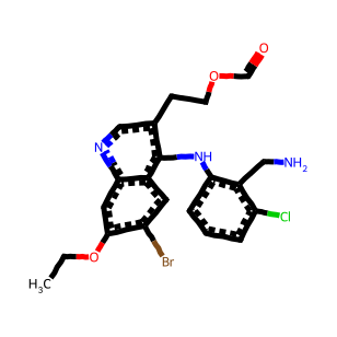 CCOc1cc2ncc(CCOC=O)c(Nc3cccc(Cl)c3CN)c2cc1Br